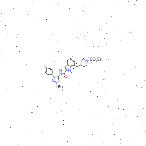 CCOC(=O)N1CCC(Cc2cccc3cc(C(=O)Nc4cc(C(C)(C)C)nn4-c4ccc(C)cc4)n(C)c23)CC1